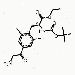 CCOC(=O)[C@H](Cc1c(C)cc(C(=O)CN)cc1C)NC(=O)OC(C)(C)C